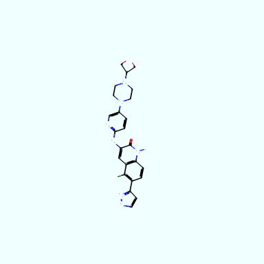 Cn1c(=O)c(Nc2ccc(N3CCN(C4COC4)CC3)cn2)cc2c(F)c(-c3cc[nH]n3)ccc21